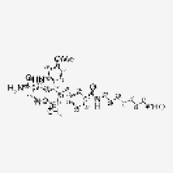 COc1cccc(Nc2c(C(N)=O)cnc3c(C)cc(Cc4cccc(C(=O)NCCCCCCCC=O)c4)cc23)c1